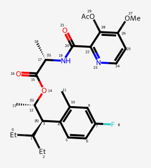 CCC(CC)[C@H](c1ccc(F)cc1C)[C@H](C)OC(=O)[C@H](C)NC(=O)c1nccc(OC)c1OC(C)=O